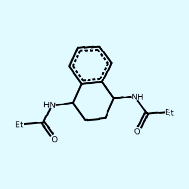 CCC(=O)NC1CCC(NC(=O)CC)c2ccccc21